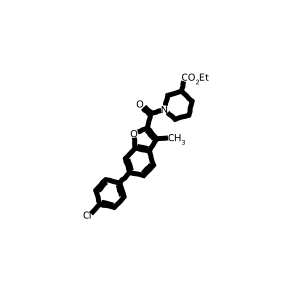 CCOC(=O)C1CCCN(C(=O)c2oc3cc(-c4ccc(Cl)cc4)ccc3c2C)C1